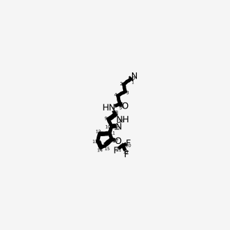 N#CCCCC(=O)Nc1cc(-c2ccccc2OC(F)(F)F)n[nH]1